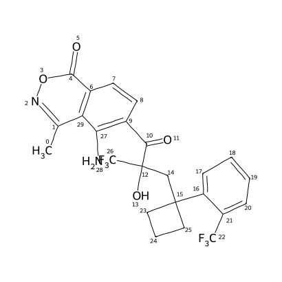 Cc1noc(=O)c2ccc(C(=O)C(O)(CC3(c4ccccc4C(F)(F)F)CCC3)C(F)(F)F)c(N)c12